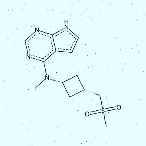 CN(c1ncnc2[nH]ccc12)[C@H]1C[C@@H](CS(C)(=O)=O)C1